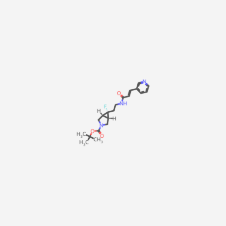 CC(C)(C)OC(=O)N1C[C@@H]2[C@H](C1)[C@@]2(F)CCNC(=O)/C=C/c1cccnc1